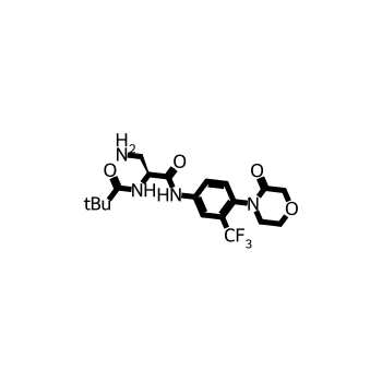 CC(C)(C)C(=O)N[C@@H](CN)C(=O)Nc1ccc(N2CCOCC2=O)c(C(F)(F)F)c1